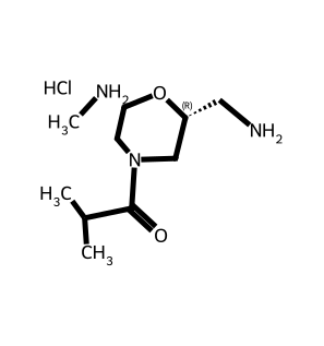 CC(C)C(=O)N1CCO[C@H](CN)C1.CN.Cl